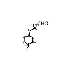 CN1CCC(CCO[C]=O)CC1